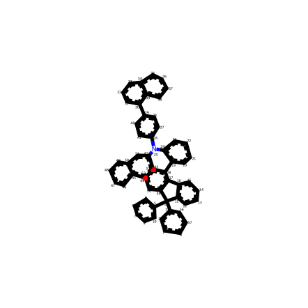 c1ccc(C2(c3ccccc3)c3ccccc3-c3c(-c4ccccc4N(c4ccc(-c5cccc6ccccc56)cc4)c4ccc5ccccc5c4)cccc32)cc1